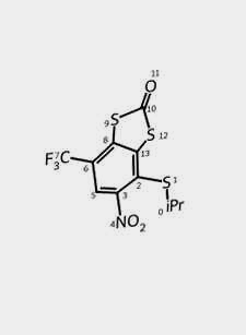 CC(C)Sc1c([N+](=O)[O-])cc(C(F)(F)F)c2sc(=O)sc12